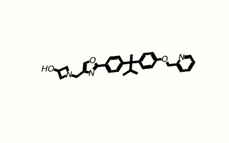 CC(C)C(C)(c1ccc(OCc2ccccn2)cc1)c1ccc(-c2nc(CN3CC(O)C3)co2)cc1